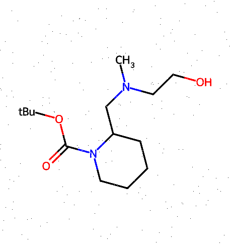 CN(CCO)CC1CCCCN1C(=O)OC(C)(C)C